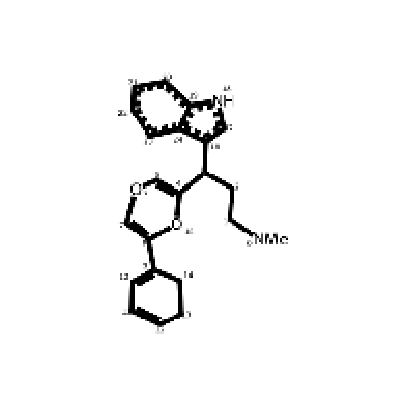 CNCCC(C1=COC=C(C2=CC=CCC2)O1)c1c[nH]c2ccccc12